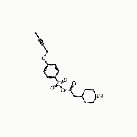 CC#CCOc1ccc(S(=O)(=O)OC(=O)CC2CCNCC2)cc1